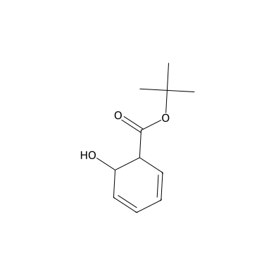 CC(C)(C)OC(=O)C1C=CC=CC1O